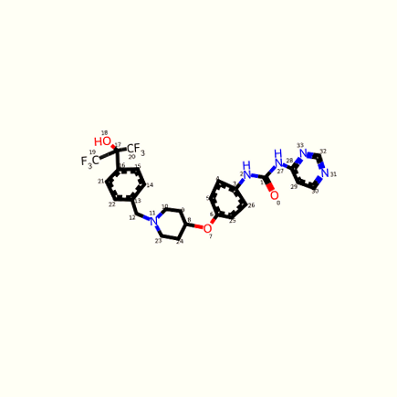 O=C(Nc1ccc(OC2CCN(Cc3ccc(C(O)(C(F)(F)F)C(F)(F)F)cc3)CC2)cc1)Nc1ccncn1